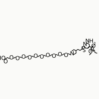 CCCN(OCC)C(=O)C1=Cc2sc(CCC3CCN(CCOCCOCCOCCOCCOCCOCCOCCOCCOCCOCCC(=O)O)CC3)cc2N=C(N)C1